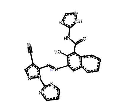 N#Cc1cnn(-c2ncccn2)c1/N=N/c1cc2ccccc2c(C(=O)Nc2ncn[nH]2)c1O